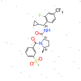 C[C@@H]1CC[C@@H](C(=O)N[C@@H](c2ccc(C(F)(F)F)cc2F)C2CC2)N1C(=O)c1cccc(S(C)(=O)=O)c1